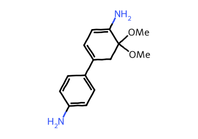 COC1(OC)CC(c2ccc(N)cc2)=CC=C1N